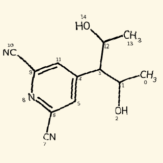 CC(O)C(c1cc(C#N)nc(C#N)c1)C(C)O